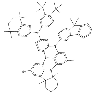 Cc1cc2c3c(c1)N1c4c(cc(C(C)(C)C)cc4C4(C)CCCCC14C)B3c1ccc(N(c3ccc4c(c3)C(C)(C)CCC4(C)C)c3ccc4c(c3)C(C)(C)CCC4(C)C)cc1N2c1ccc2c(c1)-c1ccccc1C2(C)C